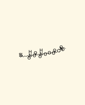 O=C(CCCCC1CCSS1)NCCOC(=O)CCC(=O)NCCOCCOCCOC(=O)Cc1ccc([N+](=O)[O-])cc1